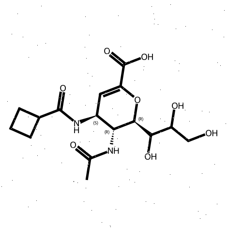 CC(=O)N[C@@H]1[C@@H](NC(=O)C2CCC2)C=C(C(=O)O)O[C@H]1C(O)C(O)CO